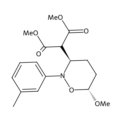 COC(=O)C(C(=O)OC)[C@H]1CC[C@H](OC)ON1c1cccc(C)c1